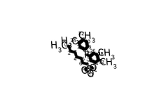 CCCCCCCCS(=O)(=O)[O-].Cc1ccc([I+]c2ccc(C)c(C)c2)cc1C